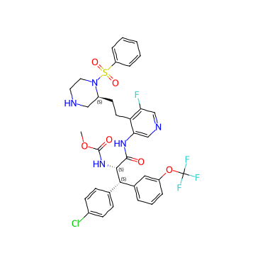 COC(=O)N[C@H](C(=O)Nc1cncc(F)c1CC[C@H]1CNCCN1S(=O)(=O)c1ccccc1)[C@@H](c1ccc(Cl)cc1)c1cccc(OC(F)(F)F)c1